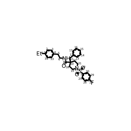 CCc1ccc(CCNC(=O)C2(Cc3ccccc3)CCN(S(=O)(=O)c3ccc(F)cc3)CC2)cc1